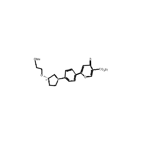 CCOC(=O)c1coc(-c2ccc(N3CC[C@H](OCCOC)C3)cc2)cc1=O